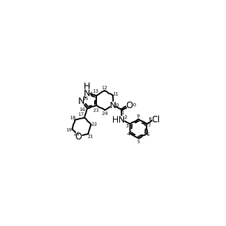 O=C(Nc1cccc(Cl)c1)N1CCc2[nH]nc(C3CCOCC3)c2C1